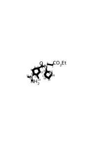 CCOC(=O)CCN(C(=O)c1ccc(N(C)N)c(C)c1)c1ccccn1